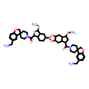 CSC1CC(C(=O)N2CCC3(CC2)COc2ccc(CN)cc23)C2CC3OB(C4CCC5C(C(=O)N6CCC7(CC6)COc6ccc(CN)cc67)SC(SC)C5C4)OC3CC12